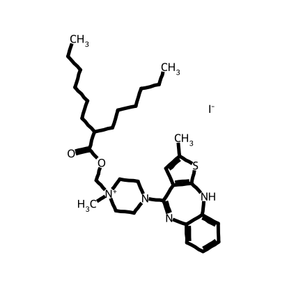 CCCCCCC(CCCCCC)C(=O)OC[N+]1(C)CCN(C2=Nc3ccccc3Nc3sc(C)cc32)CC1.[I-]